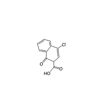 O=C(O)C1C=C(Cl)c2ccccc2C1=O